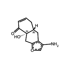 Nc1coc2c1C[C@H]1CC=CC(=O)[C@]1(O)C2